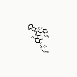 CNC[C@@H](O)COc1ccc(Cl)c(-c2nc(-c3c(C)noc3C)c(C)c(N3Cc4cccnc4C3)n2)c1Cl